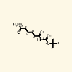 CC(C)(C)OC(=O)NC(=O)CCCCC(N)=O